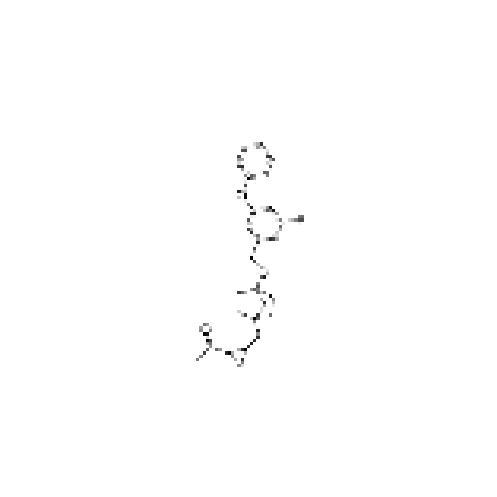 CC(=O)C1CC1CC12CCC(OCc3cc(F)cc(Oc4ccccc4)c3)(CC1)C2